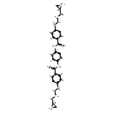 O=C(Oc1ccc(OC(=O)c2ccc(OCOCC3CO3)cc2)cc1)c1ccc(OCOCC2CO2)cc1